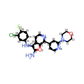 Nc1oc2c(-c3ccnc(N4CCOCC4)c3)nccc2c1Nc1ccc(F)c(Cl)c1